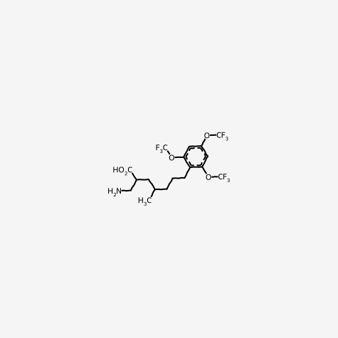 CC(CCCc1c(OC(F)(F)F)cc(OC(F)(F)F)cc1OC(F)(F)F)CC(CN)C(=O)O